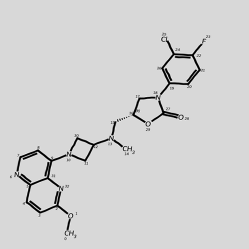 COc1ccc2nccc(N3CC(N(C)C[C@@H]4CN(c5ccc(F)c(Cl)c5)C(=O)O4)C3)c2n1